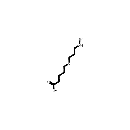 CC(C)C(=O)CCCCOCCCNS